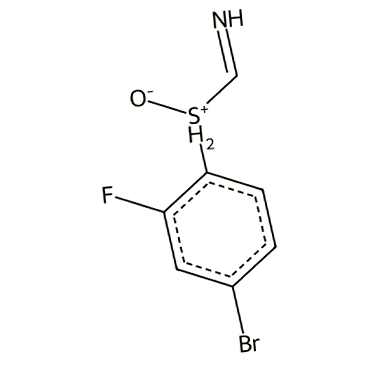 N=C[SH2+]([O-])c1ccc(Br)cc1F